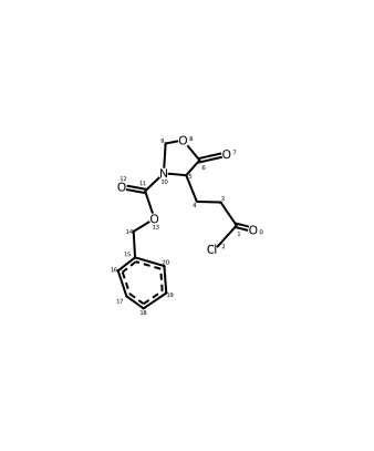 O=C(Cl)CCC1C(=O)OCN1C(=O)OCc1ccccc1